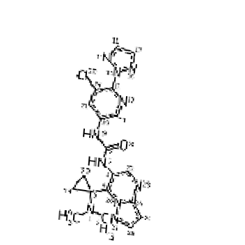 CN(C)C1(c2c(NC(=O)Nc3cnc(-n4nccn4)c(Cl)c3)cnc3ccnn23)CC1